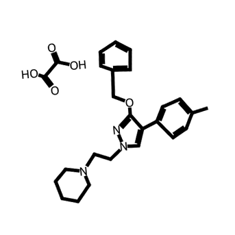 Cc1ccc(-c2cn(CCN3CCCCC3)nc2OCc2ccccc2)cc1.O=C(O)C(=O)O